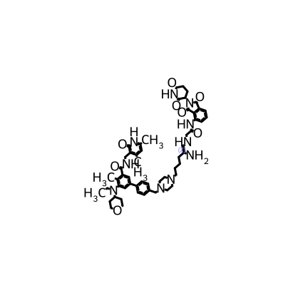 CCN(c1cc(-c2ccc(CN3CCN(CCCC/C(N)=C/NCC(=O)Nc4cccc5c4C(=O)N(C4CCC(=O)NC4=O)C5=O)CC3)cc2)cc(C(=O)NCc2c(C)cc(C)[nH]c2=O)c1C)C1CCOCC1